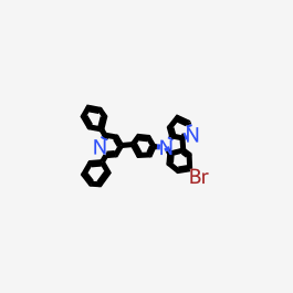 Brc1ccc2c(c1)c1ncccc1n2-c1ccc(-c2cc(-c3ccccc3)nc(-c3ccccc3)c2)cc1